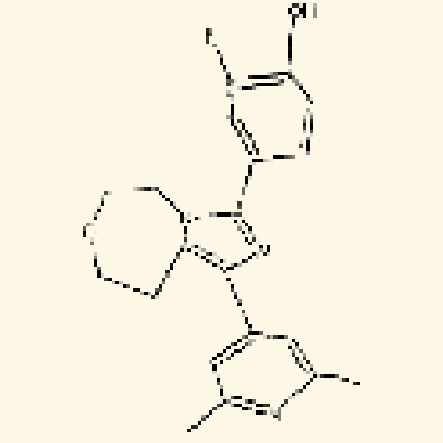 Cc1cc(-c2nc(-c3ccc(O)c(F)c3)n3c2CCOCC3)cc(C)n1